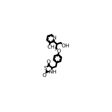 Cc1cccnc1C(CO)COc1ccc(CC2NC(=O)SC2=O)cc1